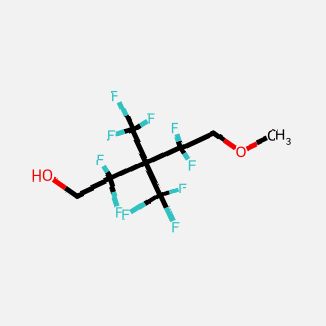 COCC(F)(F)C(C(F)(F)F)(C(F)(F)F)C(F)(F)CO